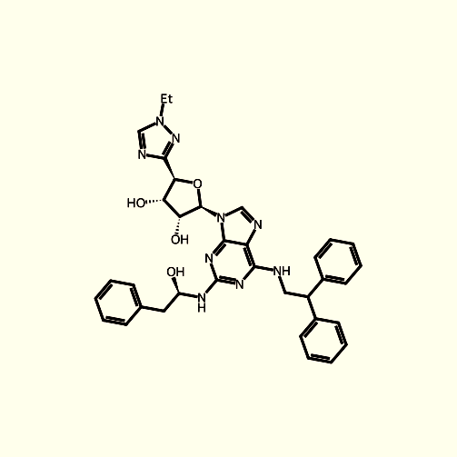 CCn1cnc([C@H]2O[C@@H](n3cnc4c(NCC(c5ccccc5)c5ccccc5)nc(N[C@H](O)Cc5ccccc5)nc43)[C@H](O)[C@@H]2O)n1